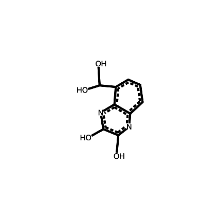 Oc1nc2cccc(C(O)O)c2nc1O